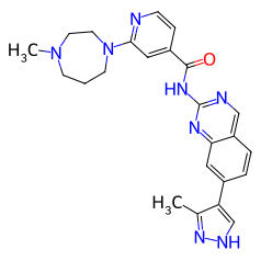 Cc1n[nH]cc1-c1ccc2cnc(NC(=O)c3ccnc(N4CCCN(C)CC4)c3)nc2c1